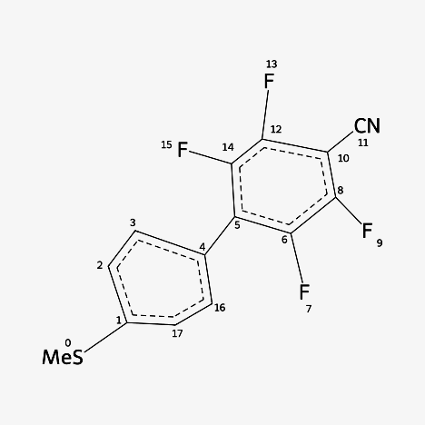 CSc1ccc(-c2c(F)c(F)c(C#N)c(F)c2F)cc1